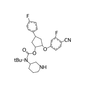 CC(C)(C)N(C(=O)OC1CC(c2ccc(F)cc2)CC1Oc1ccc(C#N)c(F)c1)C1CCCNC1